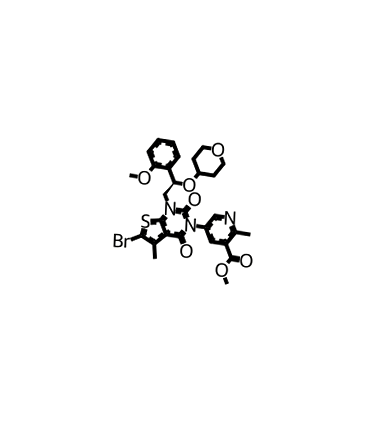 COC(=O)c1cc(-n2c(=O)c3c(C)c(Br)sc3n(C[C@H](OC3CCOCC3)c3ccccc3OC)c2=O)cnc1C